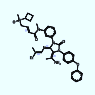 CC/C(C)=C/N=C1\C(=C(/C)N)N(c2ccc(Oc3ccccc3)cc2)C(=O)N1c1cccc(N(C)C(=O)/C=C/C[N+](C)([O-])C2CCC2)c1